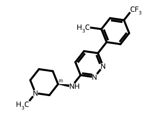 Cc1cc(C(F)(F)F)ccc1-c1ccc(N[C@@H]2CCCN(C)C2)nn1